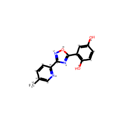 Oc1ccc(O)c(-c2nc(-c3ccc(C(F)(F)F)cn3)no2)c1